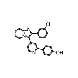 Oc1ccc(-c2cc(-c3c(-c4cccc(Cl)c4)nc4ccccn34)ccn2)cc1